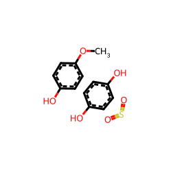 COc1ccc(O)cc1.O=S=O.Oc1ccc(O)cc1